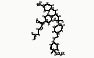 CCOC(=O)C1(C)CCN(CCN2CCN(C(C)(C)CC(CN3CCN(C(C)(C)C)CC3)N3CCC(C(=O)OCCN(C)C)CC3)CC2)CC1